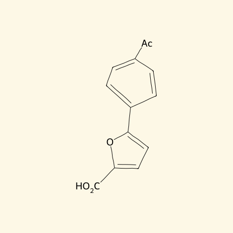 CC(=O)c1ccc(-c2ccc(C(=O)O)o2)cc1